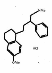 CNCC(CCC1CCCc2cc(OC)ccc21)c1ccccc1.Cl